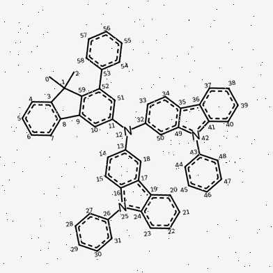 CC1(C)c2ccccc2-c2cc(N(c3ccc4c(c3)c3ccccc3n4-c3ccccc3)c3ccc4c5ccccc5n(-c5ccccc5)c4c3)cc(-c3ccccc3)c21